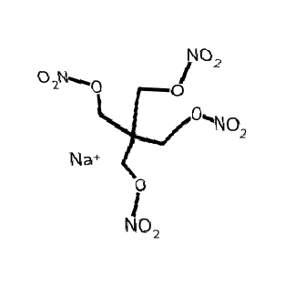 O=[N+]([O-])OCC(CO[N+](=O)[O-])(CO[N+](=O)[O-])CO[N+](=O)[O-].[Na+]